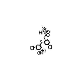 CS(=O)(=O)NC(=O)Cc1ccc(Cl)cc1Sc1cc(Cl)cc(S(C)(=O)=O)c1